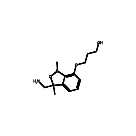 CB1OC(C)(CN)c2cccc(OCCCO)c21